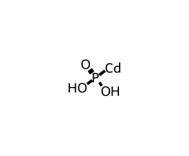 O=[P](O)(O)[Cd]